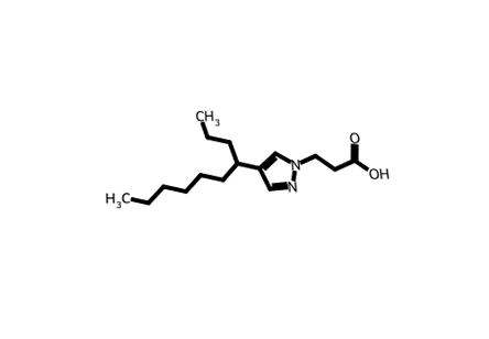 CCCCCCC(CCC)c1cnn(CCC(=O)O)c1